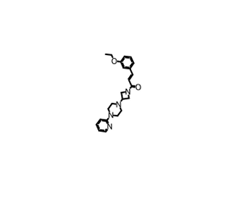 CCOc1cccc(C=CC(=O)N2CC(N3CCN(c4ccccn4)CC3)C2)c1